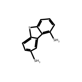 [SiH3]c1ccc2sc3cccc([SiH3])c3c2c1